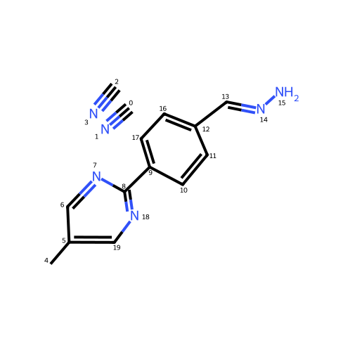 C#N.C#N.Cc1cnc(-c2ccc(C=NN)cc2)nc1